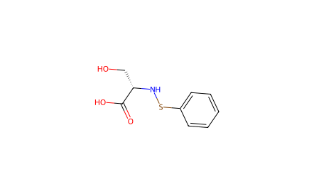 O=C(O)[C@H](CO)NSc1ccccc1